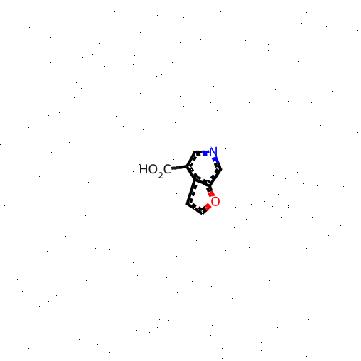 O=C(O)c1cncc2occc12